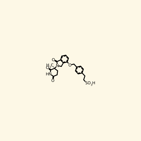 C[C@]1(N2Cc3c(OCc4ccc(CCS(=O)(=O)O)cc4)cccc3C2=O)CCC(=O)NC1=O